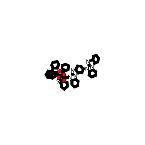 c1ccc([Si](c2ccccc2)(c2cccc(-n3c4ccccc4n4c5cc(-n6c7ccccc7n7c8ccccc8nc67)ccc5nc34)c2)c2ccccc2-c2ccccc2-c2cccc3c2sc2ccccc23)cc1